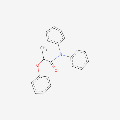 CC(Oc1ccccc1)C(=O)N(c1ccccc1)c1ccccc1